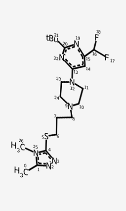 Cc1nnc(SCCCN2CCN(c3cc(C(F)F)nc(C(C)(C)C)n3)CC2)n1C